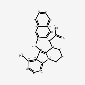 O=C(O)CC1CCCn2c1c(Sc1ccc3ccccc3c1)c1c(S)ccnc12